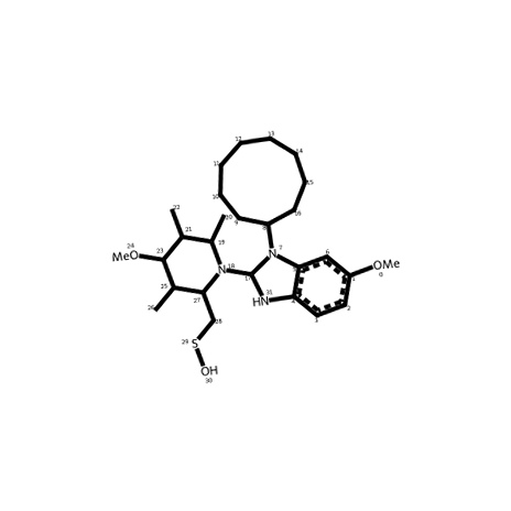 COc1ccc2c(c1)N(C1CCCCCCCC1)C(N1C(C)C(C)C(OC)C(C)C1CSO)N2